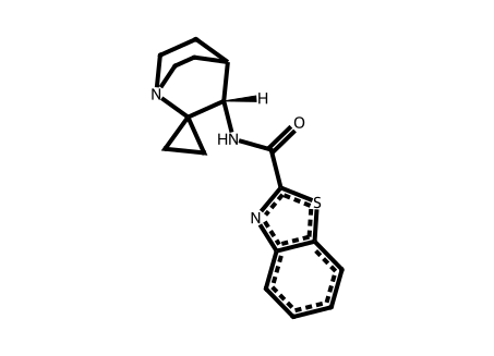 O=C(N[C@H]1C2CCN(CC2)C12CC2)c1nc2ccccc2s1